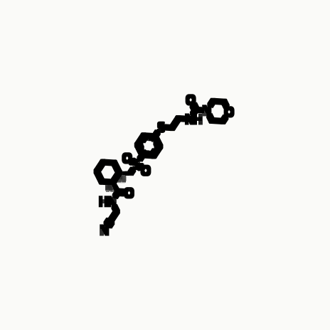 N#CCNC(=O)[C@H]1CCCC[C@@H]1CS(=O)(=O)c1ccc(SCCNC(=O)N2CCOCC2)cc1